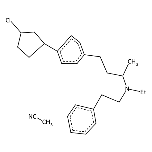 CC#N.CCN(CCc1ccccc1)C(C)CCc1ccc(C2CCC(Cl)C2)cc1